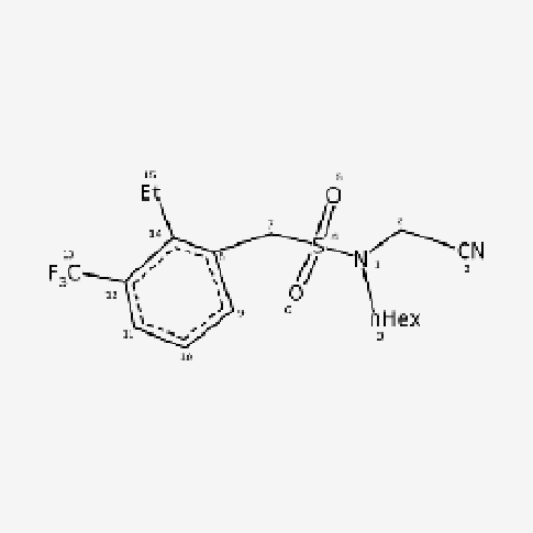 CCCCCCN(CC#N)S(=O)(=O)Cc1cccc(C(F)(F)F)c1CC